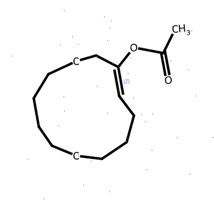 CC(=O)O/C1=C\CCCCCCCCCC1